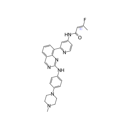 C/C(F)=C\C(=O)Nc1ccnc(-c2cccc3cnc(Nc4ccc(N5CCN(C)CC5)cc4)nc23)c1